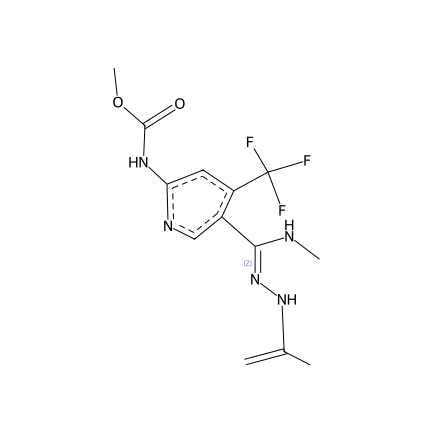 C=C(C)N/N=C(\NC)c1cnc(NC(=O)OC)cc1C(F)(F)F